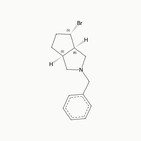 Br[C@H]1CC[C@@H]2CN(Cc3ccccc3)C[C@@H]21